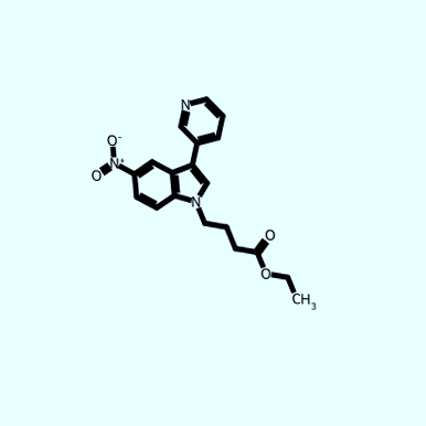 CCOC(=O)CCCn1cc(-c2cccnc2)c2cc([N+](=O)[O-])ccc21